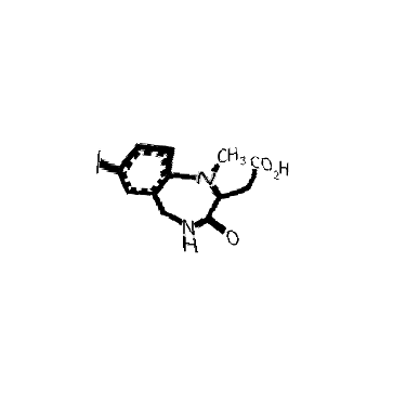 CN1c2ccc(I)cc2CNC(=O)C1CC(=O)O